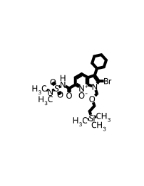 CN(C)S(=O)(=O)NC(=O)c1ccc2c(C3CCCCC3)c(Br)n(COCC[Si](C)(C)C)c2[n+]1[O-]